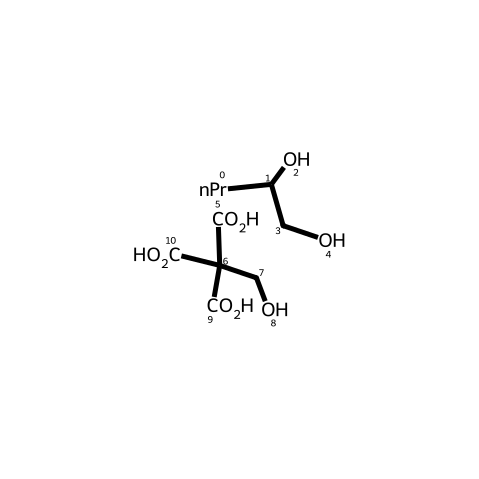 CCCC(O)CO.O=C(O)C(CO)(C(=O)O)C(=O)O